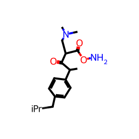 CC(C)Cc1ccc(C(C)C(=O)C(CN(C)C)C(=O)ON)cc1